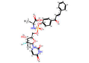 C[C@H](NP(=O)(OC[C@H]1O[C@@H](n2ccc(=O)[nH]c2=O)[C@](C)(F)[C@@H]1O)Oc1ccc(C(=O)/C=C/c2ccccc2)cc1)C(=O)O